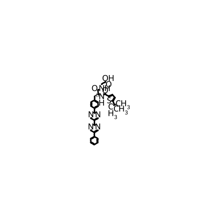 CC(C)(C)c1ccc(C(=O)N[C@@H](Cc2ccc(-c3ncc(-c4ncc(-c5ccccc5)cn4)cn3)cc2)C(=O)NCC(=O)O)s1